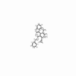 CC(=O)C1=C(C)NC(C2CC2)=C(C(=O)OCc2ccncc2)C1c1csc2ccccc12